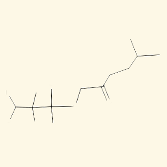 CC(C)CCC(=O)COC(F)(F)C(F)(F)C(F)F.Cl